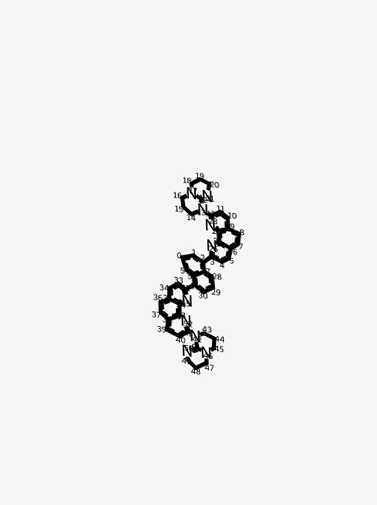 c1cc(-c2ccc3ccc4ccc(N5CCCN6CCCN=C65)nc4c3n2)c2cccc(-c3ccc4ccc5ccc(N6CCCN7CCCN=C76)nc5c4n3)c2c1